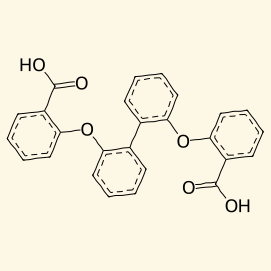 O=C(O)c1ccccc1Oc1ccccc1-c1ccccc1Oc1ccccc1C(=O)O